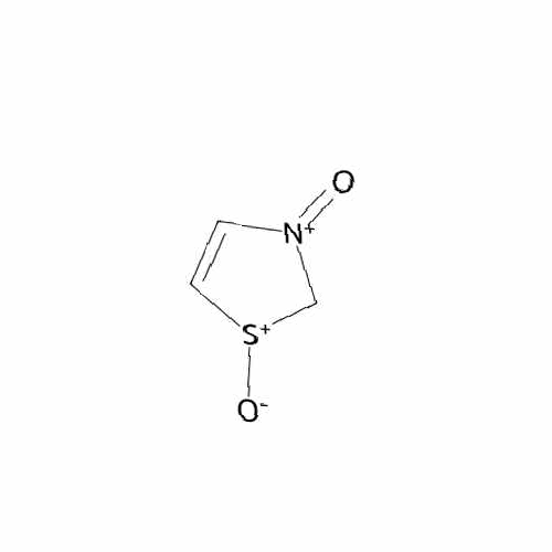 O=[N+]1C=C[S+]([O-])C1